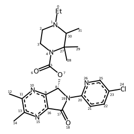 CCN1CCN(C(=O)O[C@H]2c3nc(C)c(C)nc3C(=O)N2c2ccc(Cl)cn2)C(C)(C)C1C